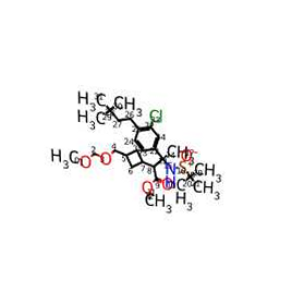 COCOCC1CC(C(C(=O)OC)[C@@](C)(N[S@@+]([O-])C(C)(C)C)c2ccc(CCC(C)(C)C)c(Cl)c2)C1